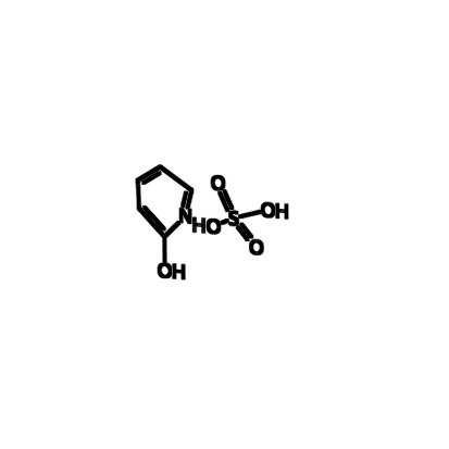 O=S(=O)(O)O.Oc1ccccn1